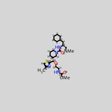 CNC[C@H](CC1CCCCC1)NC(=O)N1CCC[C@@H](C(OCCNC(=O)OC)c2nc(C)cs2)C1